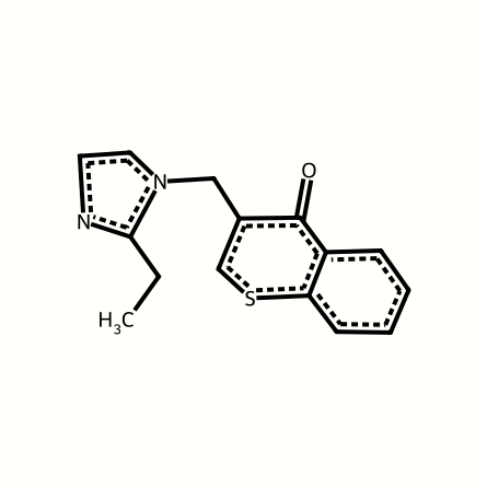 CCc1nccn1Cc1csc2ccccc2c1=O